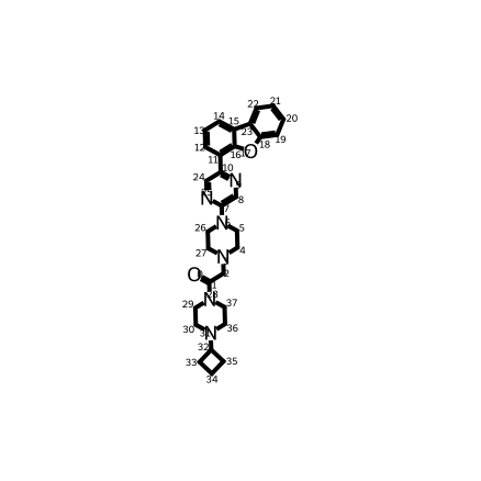 O=C(CN1CCN(c2cnc(-c3cccc4c3oc3ccccc34)cn2)CC1)N1CCN(C2CCC2)CC1